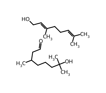 CC(C)=CCC/C(C)=C/CO.CC(CC=O)CCCC(C)(C)O